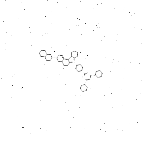 c1ccc(-c2cc(-c3ccccc3)nc(-c3ccc(-n4c5ccccc5c5c6ccc(-c7ccc8ccccc8c7)cc6ccc54)cc3)n2)cc1